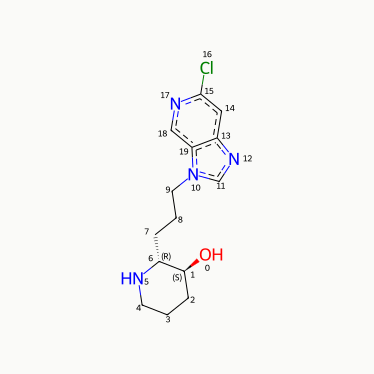 O[C@H]1CCCN[C@@H]1CCCn1cnc2cc(Cl)ncc21